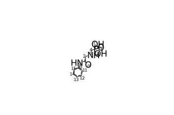 O=C(CNCP(=O)(O)O)Nc1ccccc1